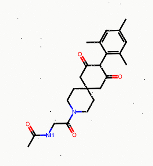 CC(=O)NCC(=O)N1CCC2(CC1)CC(=O)C(c1c(C)cc(C)cc1C)C(=O)C2